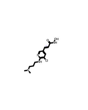 CN(C)CCCNc1ncc(/C=C/C(=O)NO)cc1Cl